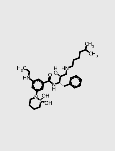 CCNc1cc(C(=O)N[C@@H](Cc2ccccc2)[C@@H](O)CNCCCCC(C)C)cc(N2CCCCS2(O)O)c1